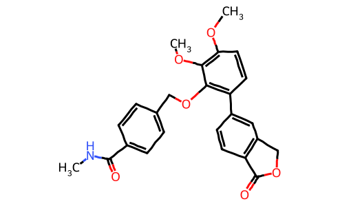 CNC(=O)c1ccc(COc2c(-c3ccc4c(c3)COC4=O)ccc(OC)c2OC)cc1